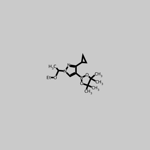 CCOC(C)n1cc(B2OC(C)(C)C(C)(C)O2)c(C2CC2)n1